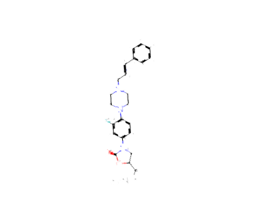 CC(=O)NCC1CN(c2ccc(N3CCN(C/C=C/c4ccccc4)CC3)c(F)c2)C(=O)O1